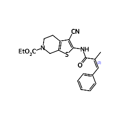 CCOC(=O)N1CCc2c(sc(NC(=O)/C(C)=C\c3ccccc3)c2C#N)C1